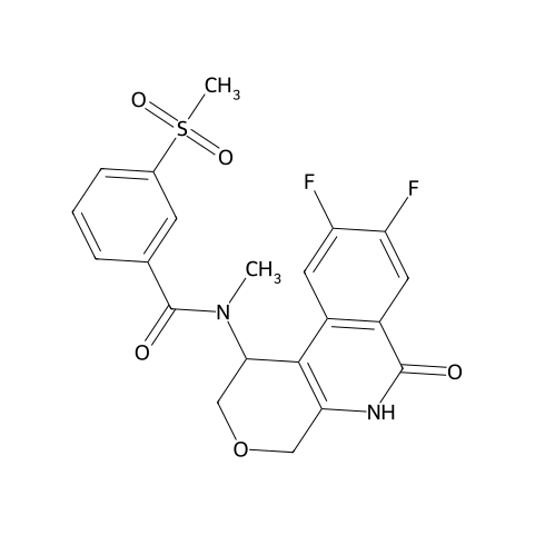 CN(C(=O)c1cccc(S(C)(=O)=O)c1)C1COCc2[nH]c(=O)c3cc(F)c(F)cc3c21